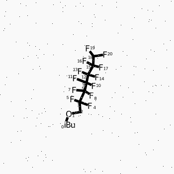 CCC(C)OCC(F)(F)C(F)(F)C(F)(F)C(F)(F)C(F)(F)C(F)F